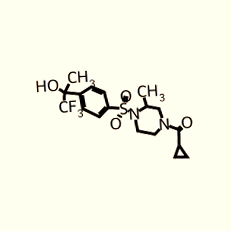 CC1CN(C(=O)C2CC2)CCN1S(=O)(=O)c1ccc(C(C)(O)C(F)(F)F)cc1